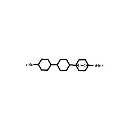 CCCCCCC12CCC(C3CCC(C4CCC(CCCC)CC4)CC3)(CC1)CC2